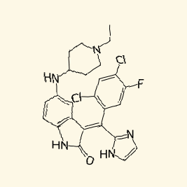 CCN1CCC(Nc2ccc3c(c2)/C(=C(/c2ncc[nH]2)c2cc(F)c(Cl)cc2Cl)C(=O)N3)CC1